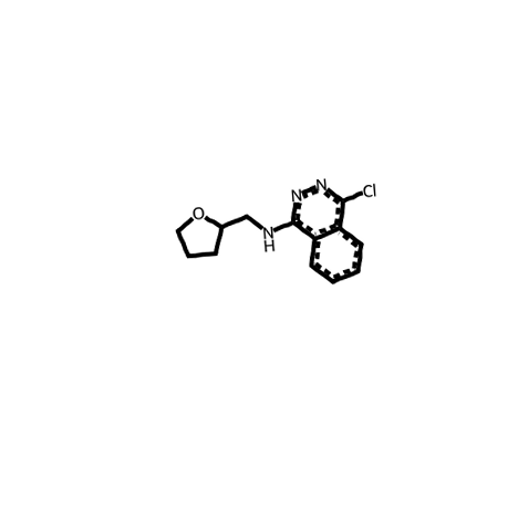 Clc1nnc(NCC2CCCO2)c2ccccc12